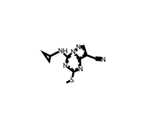 CSc1nc(NC2CC2)n2ncc(C#N)c2n1